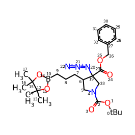 CC(C)(C)OC(=O)N1CC(CCCB2OC(C)(C)C(C)(C)O2)C(N=[N+]=[N-])(C(=O)OCc2ccccc2)C1